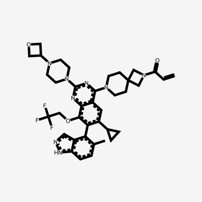 C=CC(=O)N1CC2(CCN(c3nc(N4CCN(C5COC5)CC4)nc4c(OCC(F)(F)F)c(-c5c(C)ccc6[nH]ncc56)c(C5CC5)cc34)CC2)C1